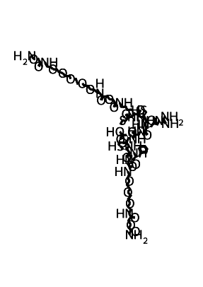 CSCC(=O)N[C@@H](CCCCNC(=O)COCC(=O)NCCOCCOCCOCCOCCOCCNC(=O)CON)C(=O)N[C@@H](CS)C(=O)N[C@@H](CCCNC(=N)N)C(=O)NCC(=O)N[C@@H](CC(=O)O)C(=O)N[C@@H](CS)C(=O)N[C@@H](Cc1ccccc1)C(=O)N[C@@H](C)C(=O)NCCOCCOCCOCCNC(=O)COCC(N)=O